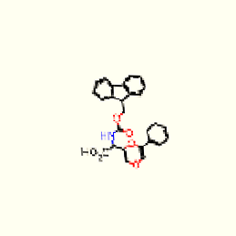 O=C(NC(C(=O)O)C1=COC=C(C2=CC=CCC2)O1)OCC1c2ccccc2-c2ccccc21